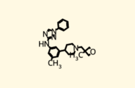 Cc1cc(Nc2ncn(-c3ccccc3)n2)cc(C2CCN(CC3(C)COC3)CC2)c1